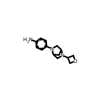 Nc1ccc(N2CC3CC2CN3C2COC2)cc1